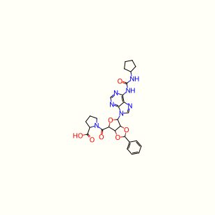 O=C(Nc1ncnc2c1ncn2C1OC(C(=O)N2CCCC2C(=O)O)C2OC(c3ccccc3)OC21)NC1CCCC1